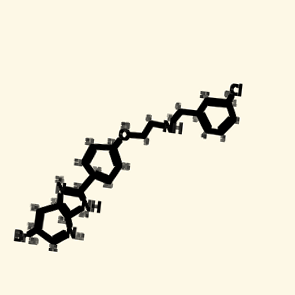 Clc1cccc(CNCCOc2ccc(-c3nc4cc(Br)cnc4[nH]3)cc2)c1